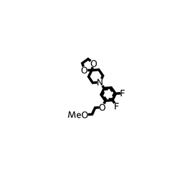 COCCOc1cc(N2CCC3(CC2)OCCO3)cc(F)c1F